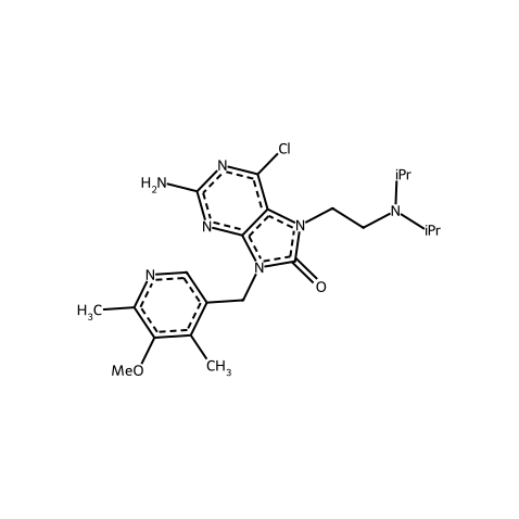 COc1c(C)ncc(Cn2c(=O)n(CCN(C(C)C)C(C)C)c3c(Cl)nc(N)nc32)c1C